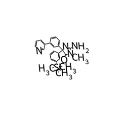 CN1C(=O)C(c2cccc(-c3cccnc3)c2)(c2cccc([Si](C)(C)C)c2)N=C1N